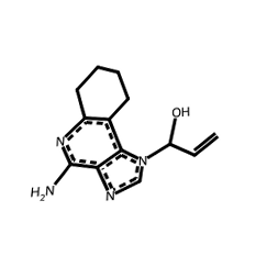 C=CC(O)n1cnc2c(N)nc3c(c21)CCCC3